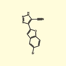 N#Cc1[nH]nnc1-c1cc2cc(Br)ccc2o1